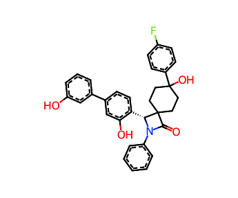 O=C1N(c2ccccc2)[C@H](c2ccc(-c3cccc(O)c3)cc2O)C12CCC(O)(c1ccc(F)cc1)CC2